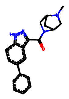 CN1CC2CC1CN2C(=O)c1n[nH]c2ccc(-c3ccccc3)cc12